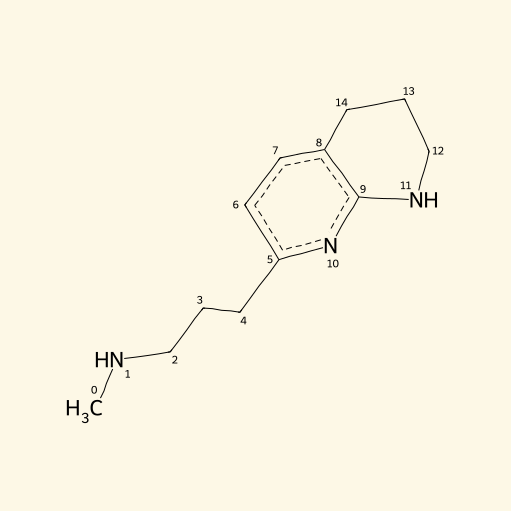 CNCCCc1ccc2c(n1)NCCC2